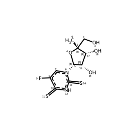 C[C@]1(CO)O[C@@H](n2cc(F)c(=S)[nH]c2=S)[C@@H](O)[C@H]1O